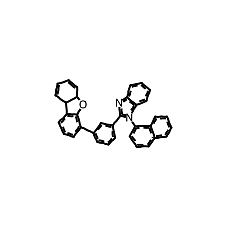 C1=CC2Oc3c(-c4cccc(-c5nc6ccccc6n5-c5cccc6ccccc56)c4)cccc3C2C=C1